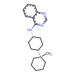 C[Si]1([C@H]2CC[C@@H](Nc3ncnc4ccccc34)CC2)CCCCC1